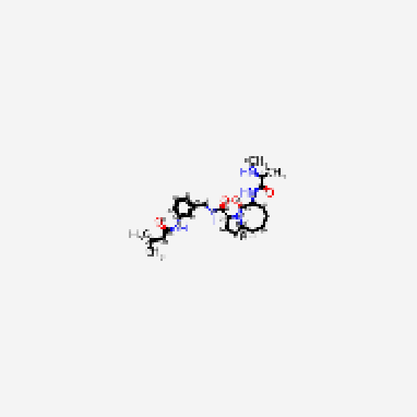 CNC(C)C(=O)N[C@H]1CCCC[C@H]2CC[C@@H](C(=O)NCc3cccc(NC(=O)C=C(C)C)c3)N2C1=O